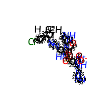 CC1(C)CCC(CN2CCN(c3ccc(C(=O)NS(=O)(=O)c4ccc(NCCN5CCn6ccnc6C5)c([N+](=O)[O-])c4)c(N4CCCOc5nc6[nH]ccc6cc54)c3)CC2)=C(c2ccc(Cl)cc2)C1